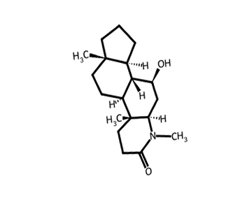 CN1C(=O)CC[C@]2(C)[C@H]3CC[C@]4(C)CCC[C@H]4[C@@H]3[C@@H](O)C[C@@H]12